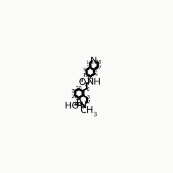 CN1C=Cc2c(CC(=O)Nc3ccc4cnccc4c3)cccc2B1O